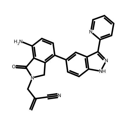 C=C(C#N)CN1Cc2c(-c3ccc4[nH]nc(-c5ccccn5)c4c3)ccc(N)c2C1=O